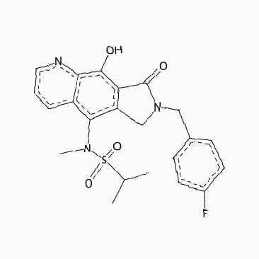 CC(C)S(=O)(=O)N(C)c1c2c(c(O)c3ncccc13)C(=O)N(Cc1ccc(F)cc1)C2